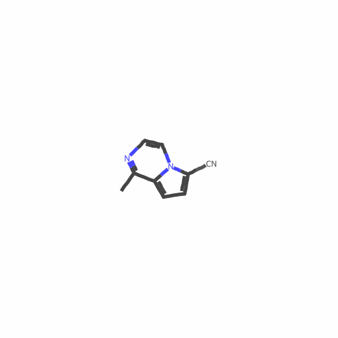 Cc1nccn2c(C#N)ccc12